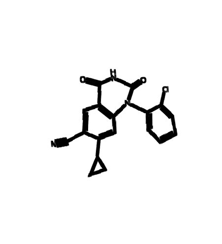 N#Cc1cc2c(=O)[nH]c(=O)n(-c3ccccc3Cl)c2cc1C1CC1